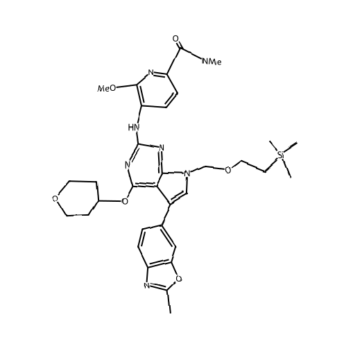 CNC(=O)c1ccc(Nc2nc(OC3CCOCC3)c3c(-c4ccc5nc(C)oc5c4)cn(COCC[Si](C)(C)C)c3n2)c(OC)n1